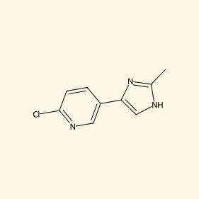 Cc1nc(-c2ccc(Cl)nc2)c[nH]1